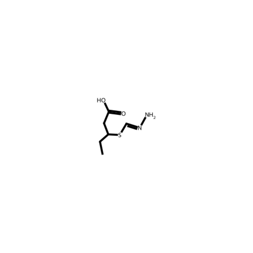 CCC(CC(=O)O)SC=NN